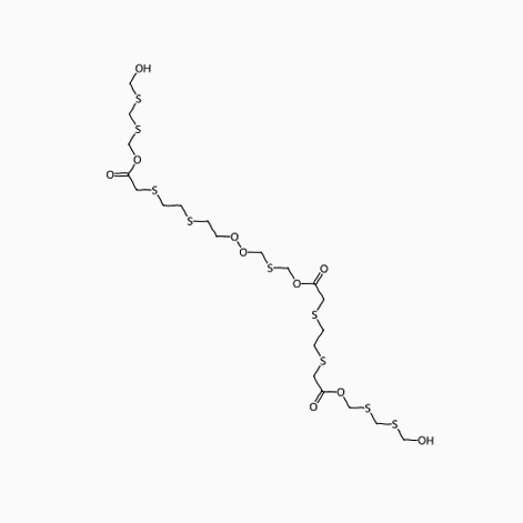 O=C(CSCCSCC(=O)OCSCSCO)OCSCOOCCSCCSCC(=O)OCSCSCO